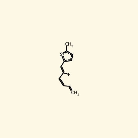 C=C/C=C\C(F)=C\c1ccc(C)s1